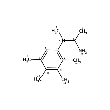 Cc1cc(N(C)C(C)N)c(C)c(C)c1C